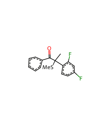 CSC(C)(C(=O)c1ccccc1)c1ccc(F)cc1F